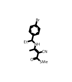 CCC(N/C(C)=C(\C#N)C(=O)SC)c1ccc(Br)cc1